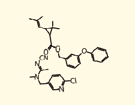 C/C(=N\C#N)N(C)Cc1ccc(Cl)nc1.CC(C)=CC1C(C(=O)OCc2cccc(Oc3ccccc3)c2)C1(C)C